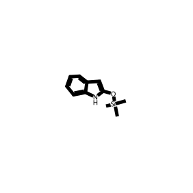 C[Si](C)(C)Oc1cc2ccccc2[nH]1